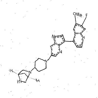 COc1cc2c(-c3cnn4cc(N5CCC(N6C[C@H]7C[C@@H]6CN7)CC5)cnc34)ccnc2cc1F